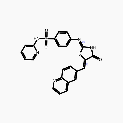 O=C1N/C(=N/c2ccc(S(=O)(=O)Nc3ccccn3)cc2)S/C1=C\c1ccc2ncccc2c1